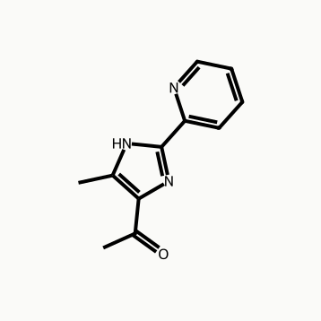 CC(=O)c1nc(-c2ccccn2)[nH]c1C